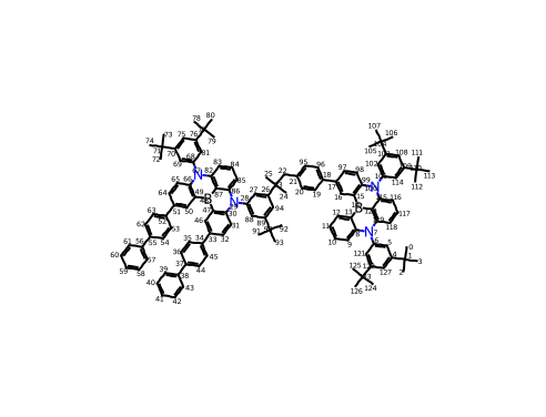 CC(C)(C)c1cc(N2c3ccccc3B3c4cc(-c5ccc(CC(C)(C)c6cc(N7c8ccc(-c9ccc(-c%10ccccc%10)cc9)cc8B8c9cc(-c%10ccc(-c%11ccccc%11)cc%10)ccc9N(c9cc(C(C)(C)C)cc(C(C)(C)C)c9)c9cccc7c98)cc(C(C)(C)C)c6)cc5)ccc4N(c4cc(C(C)(C)C)cc(C(C)(C)C)c4)c4cccc2c43)cc(C(C)(C)C)c1